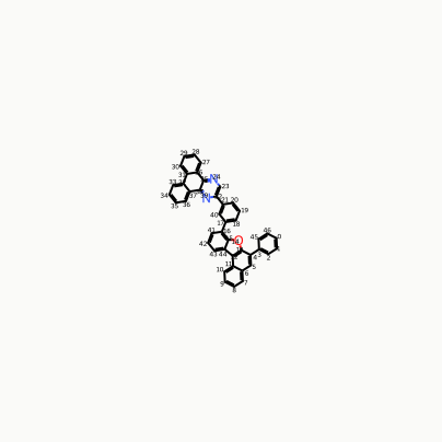 c1ccc(-c2cc3ccccc3c3c2oc2c(-c4cccc(-c5cnc6c7ccccc7c7ccccc7c6n5)c4)cccc23)cc1